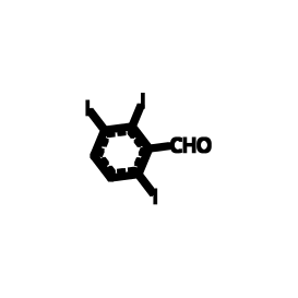 O=Cc1c(I)ccc(I)c1I